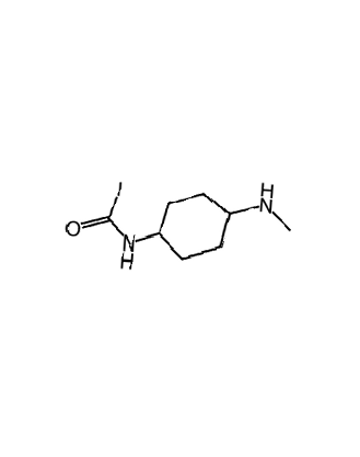 CNC1CCC(NC(=O)I)CC1